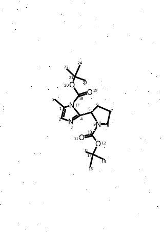 Cc1cnc(C2CCCN2C(=O)OC(C)(C)C)n1C(=O)OC(C)(C)C